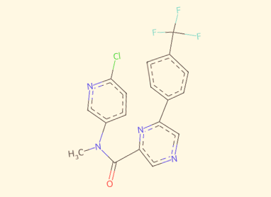 CN(C(=O)c1cncc(-c2ccc(C(F)(F)F)cc2)n1)c1ccc(Cl)nc1